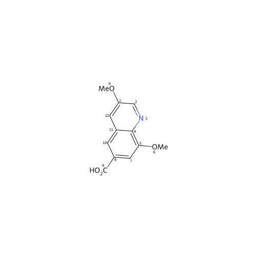 COc1cnc2c(OC)cc(C(=O)O)cc2c1